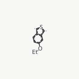 CCOc1ccc2[c]s[c]c2c1